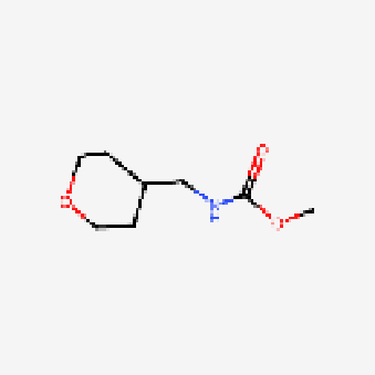 COC(=O)NCC1CCOCC1